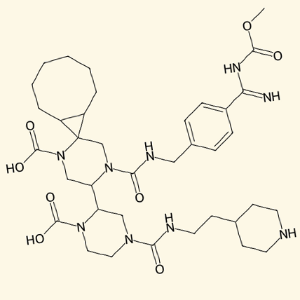 COC(=O)NC(=N)c1ccc(CNC(=O)N2CC3(C4CCCCCCC43)N(C(=O)O)CC2C2CN(C(=O)NCCC3CCNCC3)CCN2C(=O)O)cc1